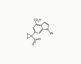 CC(C)n1ccc2c(C(=O)O)cc(C3([SH](=O)=O)CC3)cc21